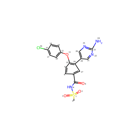 CS(=O)(=O)NC(=O)c1ccc(Oc2ccc(Cl)cc2)c(-c2cnc(N)nc2)c1